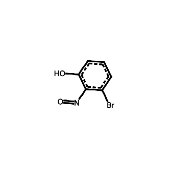 O=Nc1c(O)cccc1Br